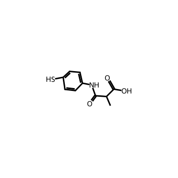 CC(C(=O)O)C(=O)Nc1ccc(S)cc1